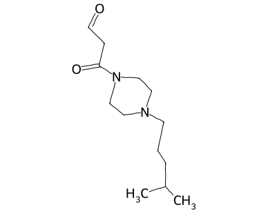 CC(C)CCCN1CCN(C(=O)CC=O)CC1